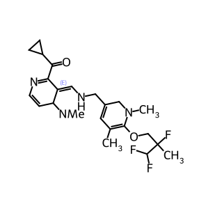 CNC1C=CN=C(C(=O)C2CC2)/C1=C/NCC1=CC(C)=C(OCC(C)(F)C(F)F)N(C)C1